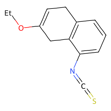 CCOC1=CCc2cccc(N=C=S)c2C1